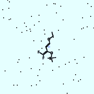 CCO/C=C/C(O[Si](C)(C)C)=C(F)F